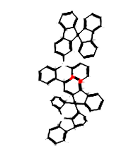 c1ccc(N(c2ccc3c(c2)C2(c4ccccc4-c4ccccc42)c2ccccc2-3)c2ccccc2-c2ccc3c(c2)C2(c4ccccc4-3)c3ccccc3-n3c4ccccc4c4cccc2c43)cc1